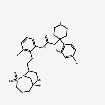 N[C@H](C(=O)Nc1cccc(F)c1CCC1CN[C@@H]2CCCS(=O)(=O)N1C2)C1(c2ccc(Cl)cc2)CCNCC1